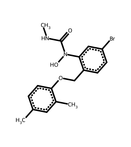 CNC(=O)N(O)c1cc(Br)ccc1COc1ccc(C)cc1C